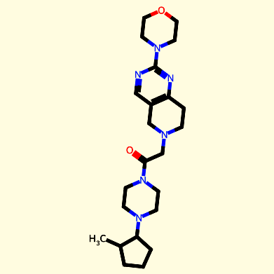 CC1CCCC1N1CCN(C(=O)CN2CCc3nc(N4CCOCC4)ncc3C2)CC1